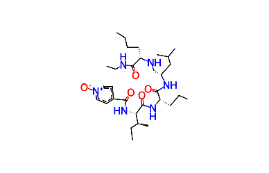 CCCC[C@H](NC[C@H](CC(C)C)NC(=O)[C@H](CCC)NC(=O)[C@@H](NC(=O)c1cc[n+]([O-])cc1)[C@@H](C)CC)C(=O)NCC